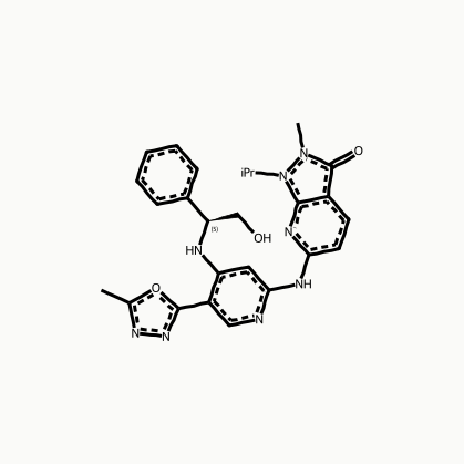 Cc1nnc(-c2cnc(Nc3ccc4c(=O)n(C)n(C(C)C)c4n3)cc2N[C@H](CO)c2ccccc2)o1